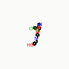 CN(C/C=C\c1ccc(O)cc1)Cc1ccc(OCC2CCOC(Cn3ccnc3)(c3ccc(Cl)cc3Cl)O2)cc1